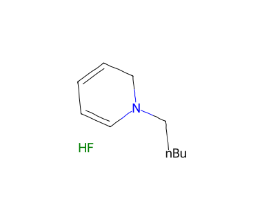 CCCCCN1C=CC=CC1.F